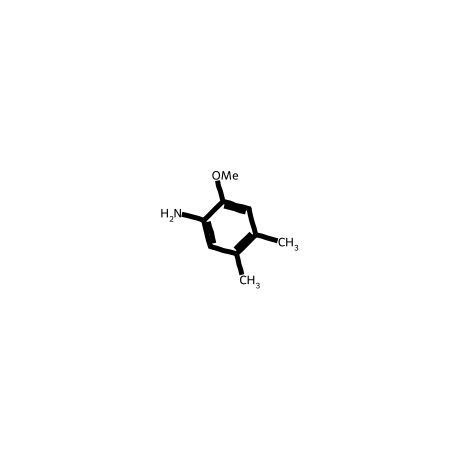 COc1cc(C)c(C)cc1N